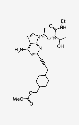 CCNC(=O)[C@@H](O[C@H](C)n1cnc2c(N)nc(C#CCC3CCC(COC(=O)OC)CC3)nc21)C(C)O